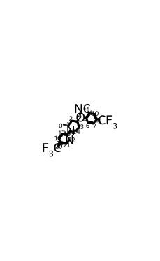 C[C@H]1C[C@@H](Oc2ccc(C(F)(F)F)cc2C#N)CCN1c1ccc(C(F)(F)F)cn1